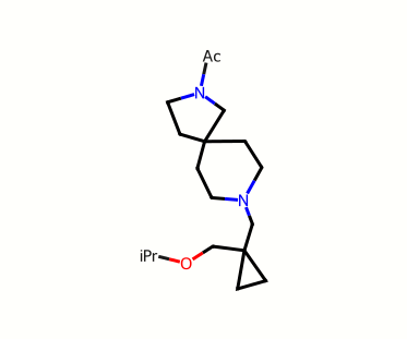 CC(=O)N1CCC2(CCN(CC3(COC(C)C)CC3)CC2)C1